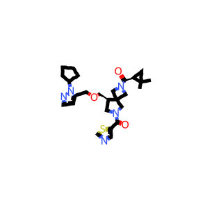 CC1(C)C[C@@H]1C(=O)N1CC2(CN(C(=O)c3cncs3)C[C@H]2COCc2ccnn2C2CCCC2)C1